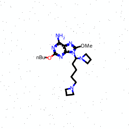 CCCCOc1nc(N)c2nc(OC)n(C(CCCCN3CCC3)N3CCC3)c2n1